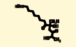 CCCCCCCCCCCCCCCCCC(=O)C(O)(CC(=O)C(C)O)C(=O)O